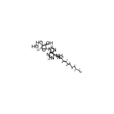 CCCCC/C=C/C=C/C=N/Nc1ncnc2c1ncn2[C@@H]1O[C@H](CO)C(O)C1O